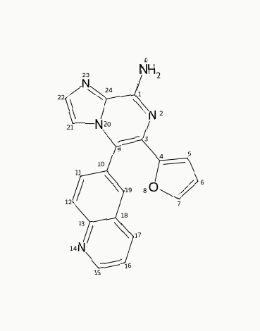 Nc1nc(-c2ccco2)c(-c2ccc3ncccc3c2)n2ccnc12